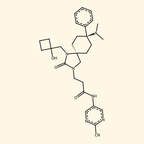 CN(C)[C@]1(c2ccccc2)CC[C@]2(CC1)CN(CCC(=O)Nc1cnc(C#N)nc1)C(=O)N2CC1(O)CCC1